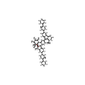 N#Cc1cc(-n2c3ccccc3c3cc(-c4ccc(-c5ccccc5)nc4)ccc32)c(-c2c(F)c(F)c(F)c(F)c2F)cc1-n1c2ccccc2c2cc(-c3ccc(-c4ccccc4)nc3)ccc21